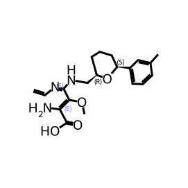 C=C/N=C(NC[C@H]1CCC[C@@H](c2cccc(C)c2)O1)\C(OC)=C(/N)C(=O)O